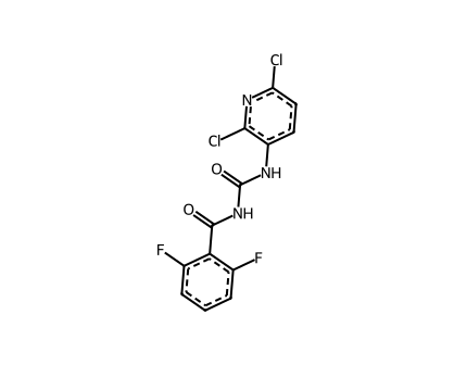 O=C(NC(=O)c1c(F)cccc1F)Nc1ccc(Cl)nc1Cl